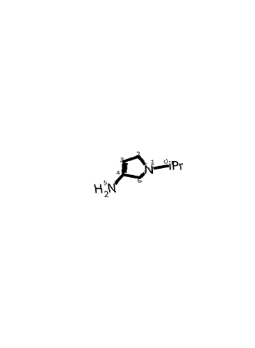 CC(C)N1CC=C(N)C1